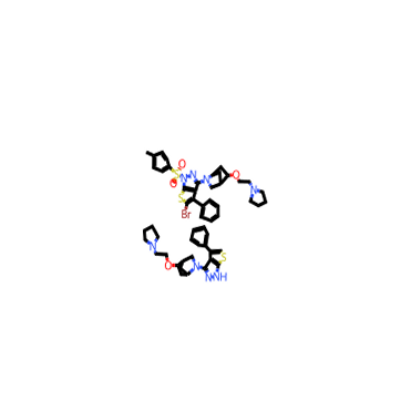 Cc1ccc(S(=O)(=O)n2nc(N3CC4CC3CC4OCCN3CCCC3)c3c(-c4ccccc4)c(Br)sc32)cc1.c1ccc(-c2csc3[nH]nc(N4CC5CC4CC5OCCN4CCCC4)c23)cc1